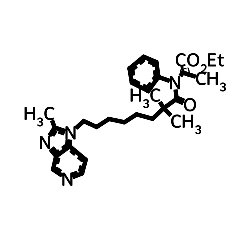 CCOC(=O)[C@H](C)N(C(=O)C(C)(C)CCCCCCn1c(C)nc2cnccc21)c1ccccc1